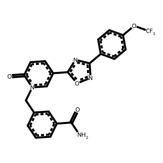 NC(=O)c1cccc(Cn2cc(-c3nc(-c4ccc(OC(F)(F)F)cc4)no3)ccc2=O)c1